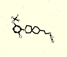 [N-]=[N+]=NCCC1CCC2(CC1)CCN(c1cc(OC(F)(F)F)ccc1Cl)CC2